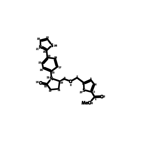 COC(=O)c1ccc(COC[C@H]2CCC(=O)N2c2ccc(-c3nccs3)cc2)s1